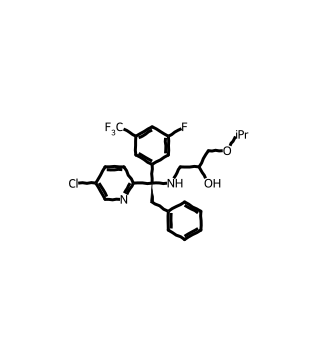 CC(C)OCC(O)CN[C@@](Cc1ccccc1)(c1cc(F)cc(C(F)(F)F)c1)c1ccc(Cl)cn1